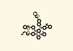 C=C/C=C\c1ccc(-c2ccc3c(c2)N(c2cccc(-c4cc5ccccc5o4)c2)c2cc(N(c4ccc5c(c4)C(C)(C)c4ccccc4-5)c4ccc5cc(-c6cc7c(o6)C=CCC7)ccc5c4)cc4c2B3c2ccccc2N4c2ccccc2C)o1